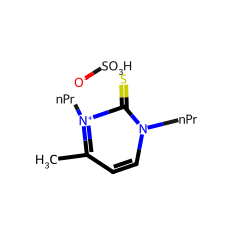 CCCn1ccc(C)[n+](CCC)c1=S.O=S(=O)([O-])O